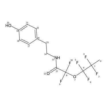 CC(F)(F)C(F)(F)OC(F)(F)C(=O)NCCc1ccc(O)cc1